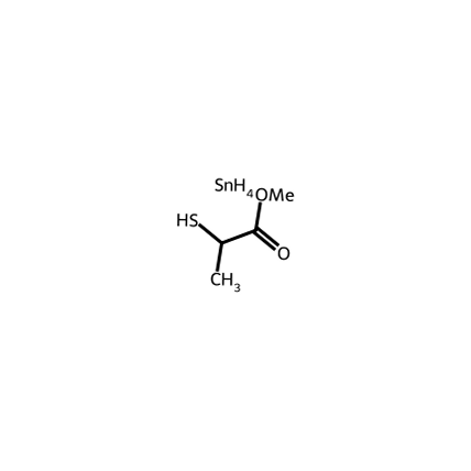 COC(=O)C(C)S.[SnH4]